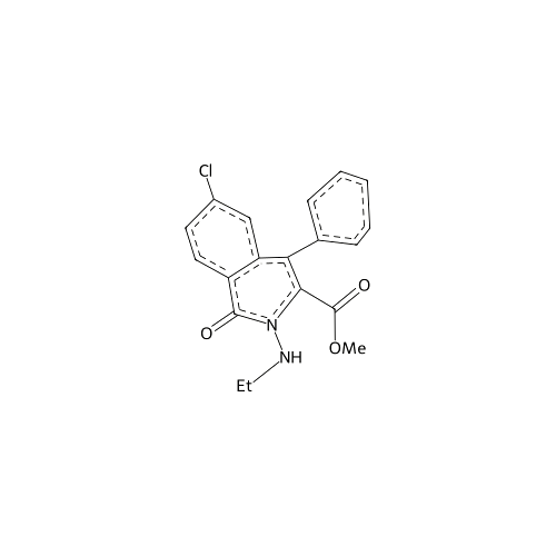 CCNn1c(C(=O)OC)c(-c2ccccc2)c2cc(Cl)ccc2c1=O